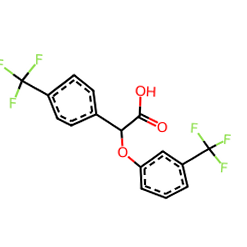 O=C(O)C(Oc1cccc(C(F)(F)F)c1)c1ccc(C(F)(F)F)cc1